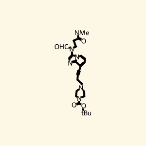 CNC(=O)CCN(C=O)c1cnc2c(C#CCCN3CCN(C(=O)OC(C)(C)C)CC3)cccn12